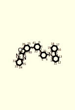 c1cc(-c2cccc(-n3c4ccccc4c4ccccc43)c2)cc(-c2ccc3oc4nc5ccccc5nc4c3c2)c1